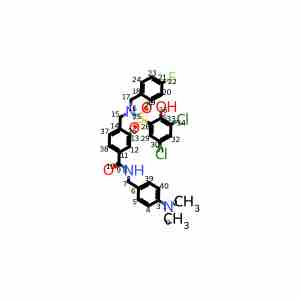 CN(C)c1ccc(CNC(=O)c2ccc(CN(Cc3ccc(F)cc3)S(=O)(=O)c3cc(Cl)cc(Cl)c3O)cc2)cc1